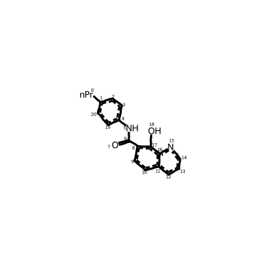 CCCc1ccc(NC(=O)c2ccc3cccnc3c2O)cc1